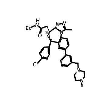 CCNC(=O)C[C@@H]1N=C(c2ccc(Cl)cc2)c2cc(-c3cccc(CN4CCN(C)CC4)c3)ccc2-n2c(C)nnc21